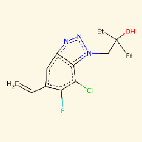 C=Cc1cc2nnn(CC(O)(CC)CC)c2c(Cl)c1F